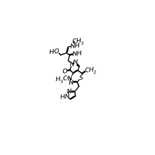 C=C1SC(Cc2cc[nH]n2)=NN(C)c2c1cnn(CC(=N)/C(=C\NC)CO)c2=O